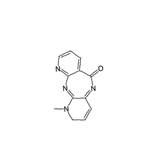 CN1CC=Cc2nc(=O)c3cccnc3nc21